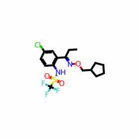 CC/C(=N\OCC1CCCC1)c1cc(Cl)ccc1NS(=O)(=O)C(F)(F)F